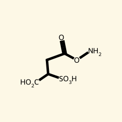 NOC(=O)CC(C(=O)O)S(=O)(=O)O